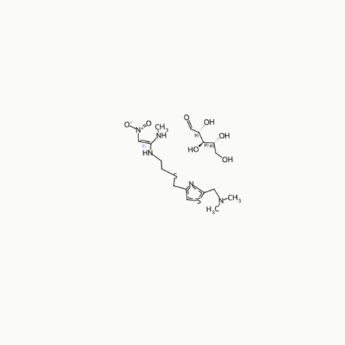 CN/C(=C\[N+](=O)[O-])NCCSCc1csc(CN(C)C)n1.O=C[C@H](O)[C@H](O)[C@H](O)CO